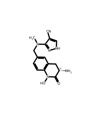 CN(Cc1ccc2c(c1)C[C@H](N)C(=O)N2O)c1n[nH]cc1C#N